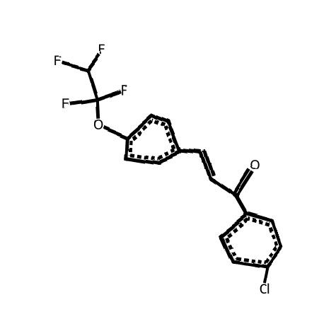 O=C(C=Cc1ccc(OC(F)(F)C(F)F)cc1)c1ccc(Cl)cc1